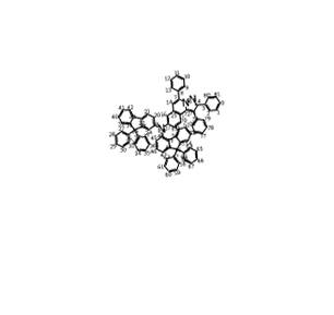 c1ccc(-c2nn3c(-c4ccccc4)cc4cc(N(c5ccc6c(c5)C(c5ccccc5)(c5ccccc5)c5ccccc5-6)c5cccc6c5-c5ccccc5C6(c5ccccc5)c5ccccc5)ccc4c3c2-c2ccccc2)cc1